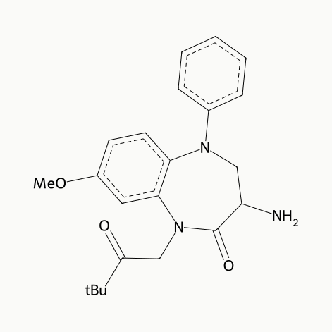 COc1ccc2c(c1)N(CC(=O)C(C)(C)C)C(=O)C(N)CN2c1ccccc1